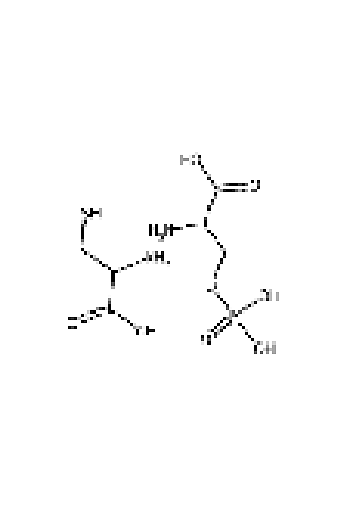 NC(COP(=O)(O)O)C(=O)O.NC(CS)C(=O)O